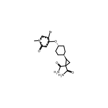 Cn1cc(Br)c(O[C@H]2CC[C@H](C3CC3(C(N)=O)C(N)=O)CC2)cc1=O